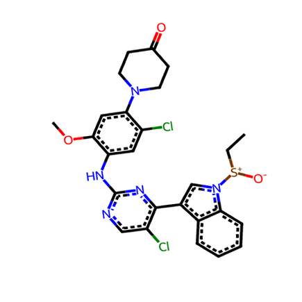 CC[S+]([O-])n1cc(-c2nc(Nc3cc(Cl)c(N4CCC(=O)CC4)cc3OC)ncc2Cl)c2ccccc21